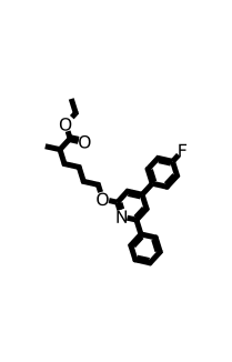 CCOC(=O)C(C)CCCCOc1cc(-c2ccc(F)cc2)cc(-c2ccccc2)n1